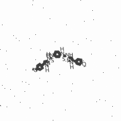 COc1ccc(-c2cc(NC(=S)Nc3ccc(NC(=S)Nc4cc(-c5ccc(OC)cc5)[nH]n4)cc3)n[nH]2)cc1